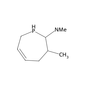 CNC1PCC=CCC1C